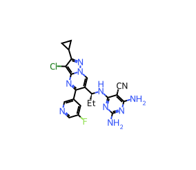 CC[C@H](Nc1nc(N)nc(N)c1C#N)c1cn2nc(C3CC3)c(Cl)c2nc1-c1cncc(F)c1